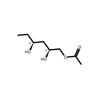 CC[C@H](O)C[C@H](O)COC(C)=O